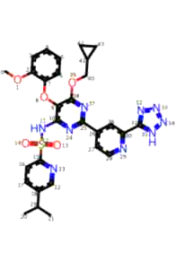 COc1ccccc1Oc1c(NS(=O)(=O)c2ccc(C(C)C)cn2)nc(-c2ccnc(-c3nnn[nH]3)c2)nc1OCC1CC1